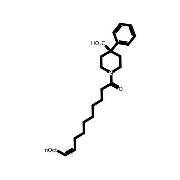 CCCCCCCC/C=C\CCCCCCCC(=O)N1CCC(C(=O)O)(c2ccccc2)CC1